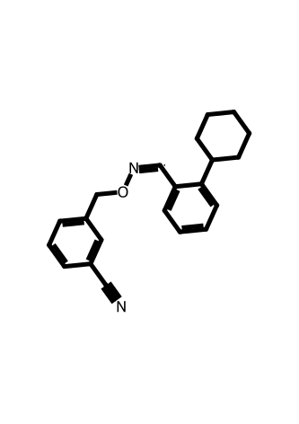 N#Cc1cccc(CO/N=[C]\c2ccccc2C2CCCCC2)c1